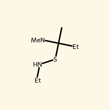 CCNSC(C)(CC)NC